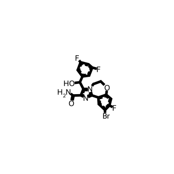 NC(=O)c1nc2n(c1C(O)c1cc(F)cc(F)c1)CCOc1cc(F)c(Br)cc1-2